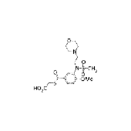 COc1ccc(C(=O)SCC(=O)O)cc1N(CCN1CCOCC1)S(C)(=O)=O